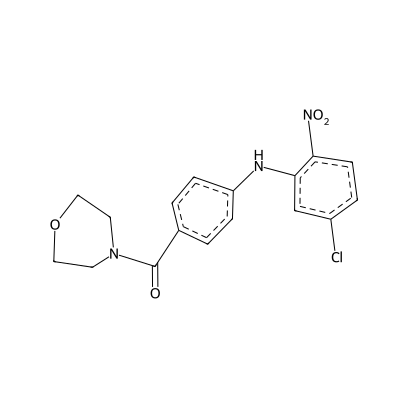 O=C(c1ccc(Nc2cc(Cl)ccc2[N+](=O)[O-])cc1)N1CCOCC1